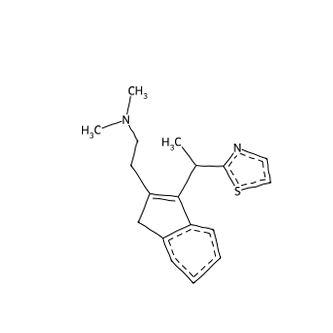 CC(C1=C(CCN(C)C)Cc2ccccc21)c1nccs1